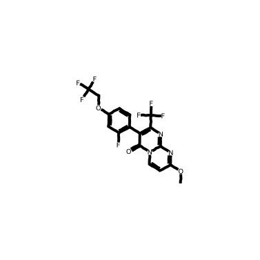 COc1ccn2c(=O)c(-c3ccc(OCC(F)(F)F)cc3F)c(C(F)(F)F)nc2n1